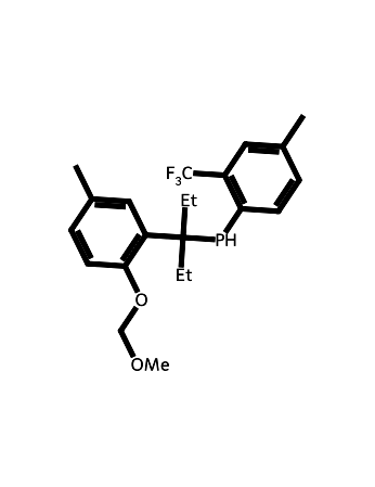 CCC(CC)(Pc1ccc(C)cc1C(F)(F)F)c1cc(C)ccc1OCOC